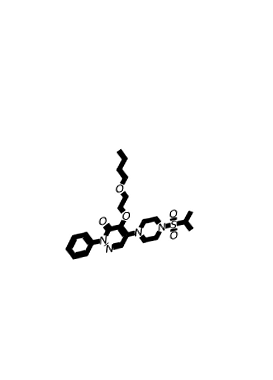 CCCCOCCOc1c(N2CCN(S(=O)(=O)C(C)C)CC2)cnn(-c2ccccc2)c1=O